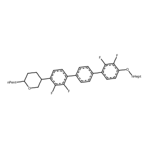 CCCCCCCOc1ccc(-c2ccc(-c3ccc(C4CCC(CCCCC)OC4)c(F)c3F)cc2)c(F)c1F